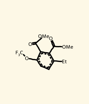 CCc1ccc(OC(F)(F)F)c(C(=O)OC)c1C(=O)OC